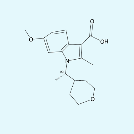 COc1ccc2c(C(=O)O)c(C)n([C@@H](C)C3CCOCC3)c2c1